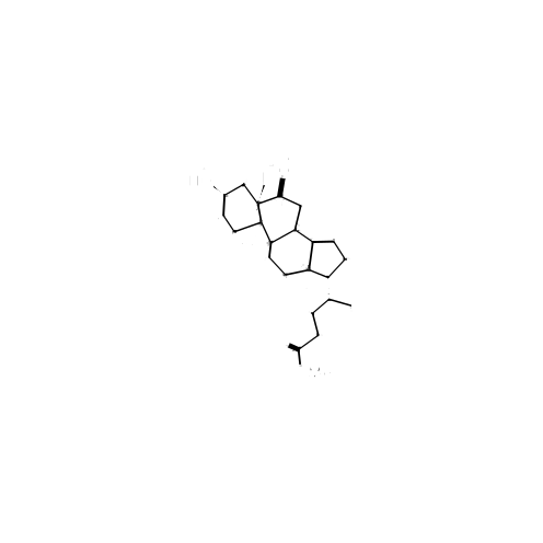 COC(=O)CCC(C)[C@H]1CCC2C3CC(=O)[C@H]4C[C@H](O)CC[C@]4(C)C3CC[C@@]21C